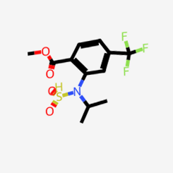 COC(=O)c1ccc(C(F)(F)F)cc1N(C(C)C)[SH](=O)=O